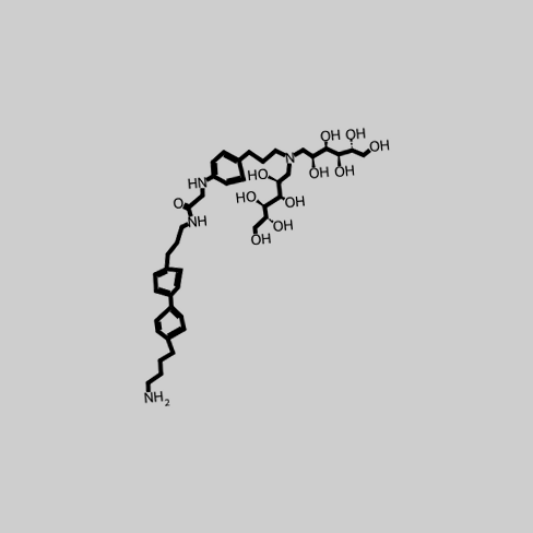 NCCCCc1ccc(-c2ccc(CCCNC(=O)CNc3ccc(CCCN(C[C@H](O)[C@@H](O)[C@H](O)[C@H](O)CO)C[C@H](O)[C@@H](O)[C@H](O)[C@H](O)CO)cc3)cc2)cc1